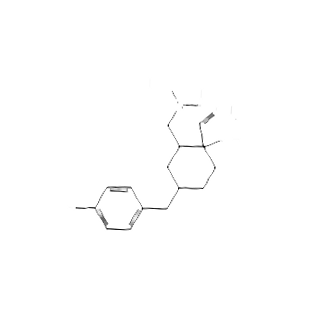 C=CC1(O)CCC(Cc2ccc(F)cc2)CC1CN(C)C